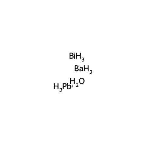 O.[BaH2].[BiH3].[PbH2]